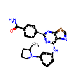 CC1CCCN1c1cccc(Nc2nc(-c3ccc(C(N)=O)cc3)nc3scnc23)c1